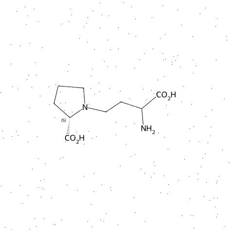 NC(CCN1CCC[C@H]1C(=O)O)C(=O)O